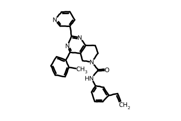 C=Cc1cccc(NC(=O)N2CCc3nc(-c4cccnc4)nc(-c4ccccc4C)c3C2)c1